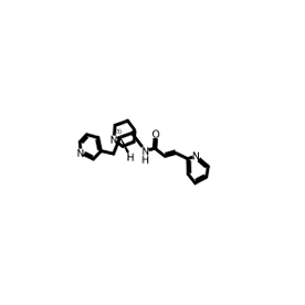 O=C(C=Cc1ccccn1)NC1C2CCN(CC2)[C@H]1Cc1cccnc1